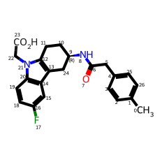 Cc1ccc(CC(=O)N[C@@H]2CCc3c(c4cc(F)ccc4n3CC(=O)O)C2)cc1